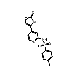 Cc1ccc(S(=O)(=O)Nc2cc(-c3noc(=O)[nH]3)ccn2)cc1